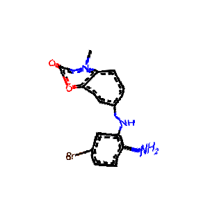 Cn1c(=O)oc2cc(Nc3cc(Br)ccc3N)ccc21